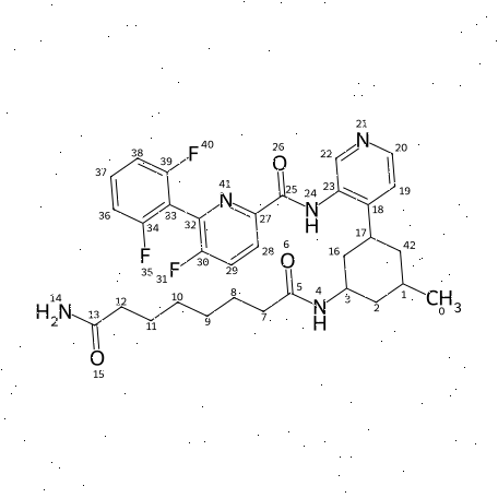 CC1CC(NC(=O)CCCCCCC(N)=O)CC(c2ccncc2NC(=O)c2ccc(F)c(-c3c(F)cccc3F)n2)C1